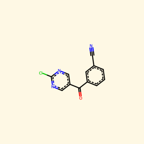 N#Cc1cccc(C(=O)c2cnc(Cl)nc2)c1